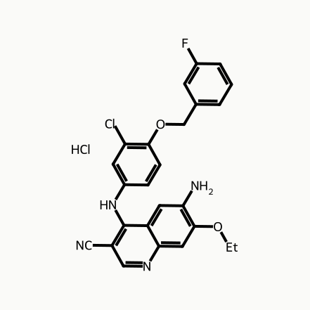 CCOc1cc2ncc(C#N)c(Nc3ccc(OCc4cccc(F)c4)c(Cl)c3)c2cc1N.Cl